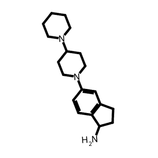 NC1CCc2cc(N3CCC(N4CCCCC4)CC3)ccc21